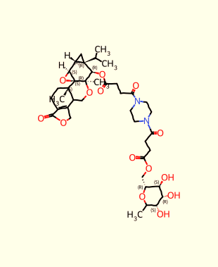 CC1O[C@H](COC(=O)CCC(=O)N2CCN(C(=O)CCC(=O)O[C@@H]3[C@@]4(C(C)C)C[C@H]4[C@@H]4O[C@@]45[C@@]4(C)CCC6=C(COC6=O)C4CO[C@]35C)CC2)[C@@H](O)[C@H](O)[C@@H]1O